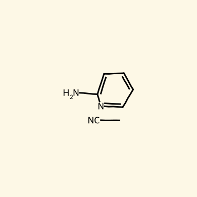 CC#N.Nc1ccccn1